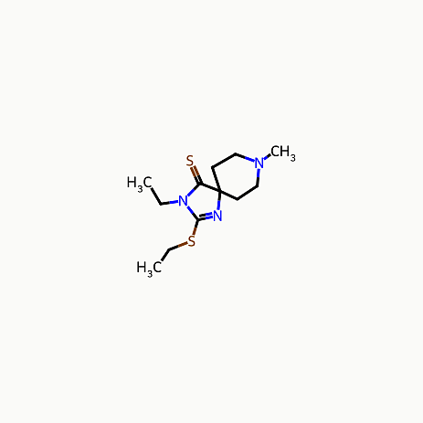 CCSC1=NC2(CCN(C)CC2)C(=S)N1CC